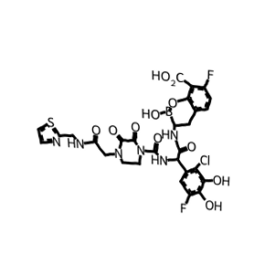 O=C(CN1CCN(C(=O)NC(C(=O)NC2Cc3ccc(F)c(C(=O)O)c3OB2O)c2cc(F)c(O)c(O)c2Cl)C(=O)C1=O)NCc1nccs1